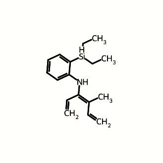 C=C/C(C)=C(\C=C)Nc1ccccc1[SiH](CC)CC